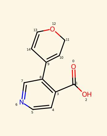 O=C(O)c1ccncc1C1=CCOC=C1